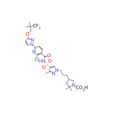 Cc1nn(CCCC2CN(C(=O)O)C(C)(C)C2)cc1S(=O)(=O)NC(=O)c1ccc(-n2ccc(OCC(C)(C)C(F)(F)F)n2)nc1Cl